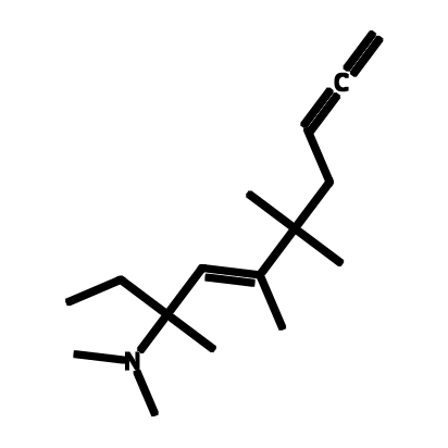 C=C=CCC(C)(C)/C(C)=C/C(C)(CC)N(C)C